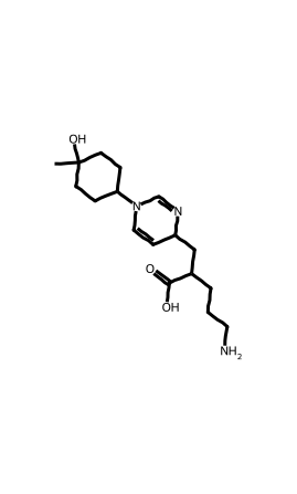 CC1(O)CCC(N2C=CC(CC(CCCN)C(=O)O)N=C2)CC1